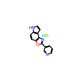 Cl.c1cncc(-c2nc3c(ccc4[nH]ccc43)o2)c1